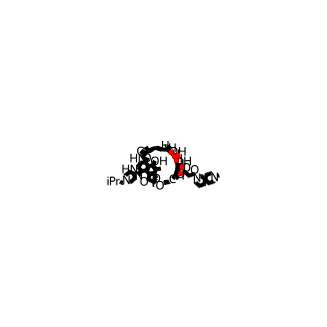 C/C1=C/C=C/[C@H](C)[C@H](O)[C@@H](C)[C@@H](O)[C@@H](C)[C@H](OC(=O)CC(=O)N2CCCC3(CCN(C)CC3)C2)[C@H](C)C/C=C/O[C@@]2(C)Oc3c(C)c(O)c4c(c3C2=O)C2=NC3(CCN(CC(C)C)CC3)NC2=C(NC1=O)C4=O